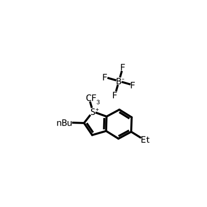 CCCCc1cc2cc(CC)ccc2[s+]1C(F)(F)F.F[B-](F)(F)F